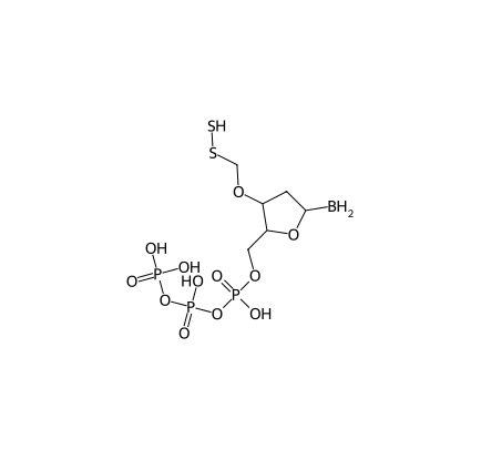 BC1CC(OCSS)C(COP(=O)(O)OP(=O)(O)OP(=O)(O)O)O1